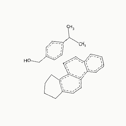 CC(C)c1ccc(CO)cc1.c1ccc2c(c1)ccc1c3c(ccc12)CCCC3